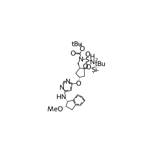 CO[C@H]1Cc2ccccc2[C@H]1Nc1cc(O[C@@H]2C[C@@H](CN(C(=O)OC(C)(C)C)S(N)(=O)=O)[C@@H](O[Si](C)(C)C(C)(C)C)C2)ncn1